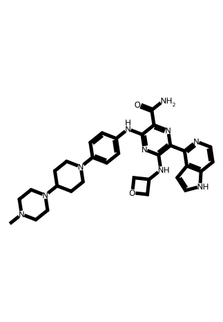 CN1CCN(C2CCN(c3ccc(Nc4nc(NC5COC5)c(-c5nccc6[nH]ccc56)nc4C(N)=O)cc3)CC2)CC1